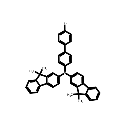 CC1(C)c2ccccc2-c2ccc(N(c3ccc(-c4ccc(Br)cc4)cc3)c3ccc4c(c3)C(C)(C)c3ccccc3-4)cc21